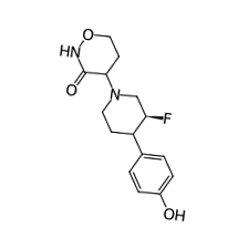 O=C1NOCCC1N1CCC(c2ccc(O)cc2)[C@H](F)C1